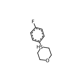 Fc1ccc([SH]2CCOCC2)cc1